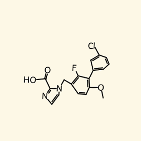 COc1ccc(Cn2ccnc2C(=O)O)c(F)c1-c1cccc(Cl)c1